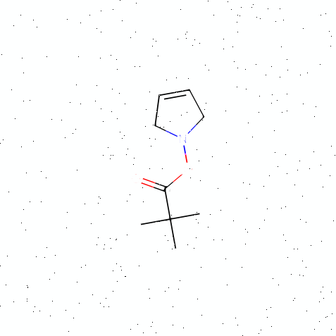 CC(C)(C)C(=O)ON1CC=CC1